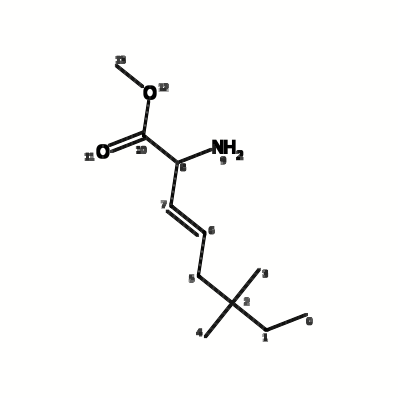 CCC(C)(C)CC=CC(N)C(=O)OC